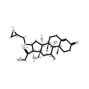 C[C@]12CCC(=O)C=C1CC[C@H]1[C@@H]3CC(OCC4CO4)[C@](O)(C(=O)CO)[C@@]3(C)CC(F)[C@@]12Cl